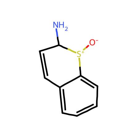 NC1C=Cc2ccccc2[S+]1[O-]